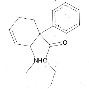 CCOC(=O)C1(c2ccccc2)CCC=CC1NC